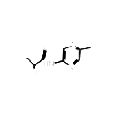 Cc1cnc(NC(=O)C(C)O)cn1